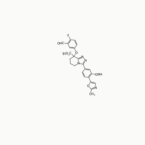 CCOC(=O)C1(Oc2ccc(F)c(C=O)c2)CCCn2c(-c3ccc(-c4cnc(C)o4)c(OC)c3)nnc21